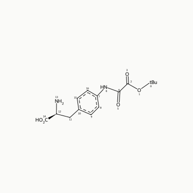 CC(C)(C)OC(=O)C(=O)Nc1ccc(C[C@H](N)C(=O)O)cc1